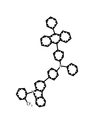 FC(F)(F)c1ccccc1-n1c2ccccc2c2cc(-c3ccc(N(c4ccccc4)c4ccc(-c5c6ccccc6c(-c6ccccc6)c6ccccc56)cc4)cc3)ccc21